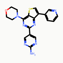 Nc1ncc(-c2nc(N3CCOCC3)c3scc(-c4cccnc4)c3n2)cn1